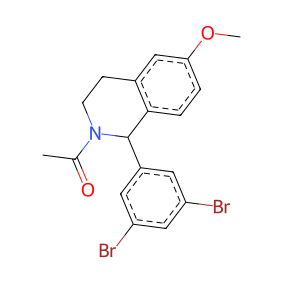 COc1ccc2c(c1)CCN(C(C)=O)C2c1cc(Br)cc(Br)c1